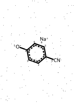 N#Cc1ccc([O-])cc1.[Na+]